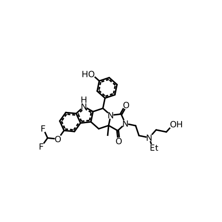 CCN(CCO)CCN1C(=O)N2C(c3cccc(O)c3)c3[nH]c4ccc(OC(F)F)cc4c3CC2(C)C1=O